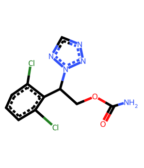 NC(=O)OCC(c1c(Cl)cccc1Cl)n1ncnn1